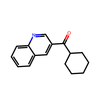 O=C(c1cnc2ccccc2c1)C1CCCCC1